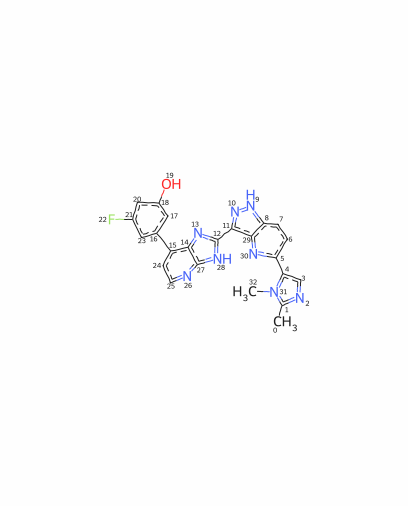 Cc1ncc(-c2ccc3[nH]nc(-c4nc5c(-c6cc(O)cc(F)c6)ccnc5[nH]4)c3n2)n1C